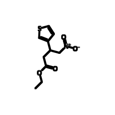 CCOC(=O)CC(C[N+](=O)[O-])c1ccsc1